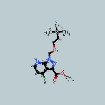 COC(=O)c1nn(COCC[Si](C)(C)C)c2nccc(Cl)c12